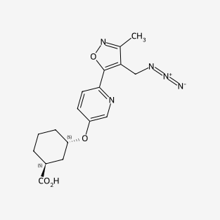 Cc1noc(-c2ccc(O[C@H]3CCC[C@H](C(=O)O)C3)cn2)c1CN=[N+]=[N-]